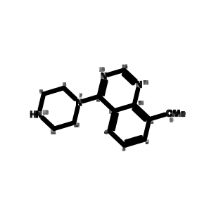 COc1cccc2c(N3CCNCC3)ncnc12